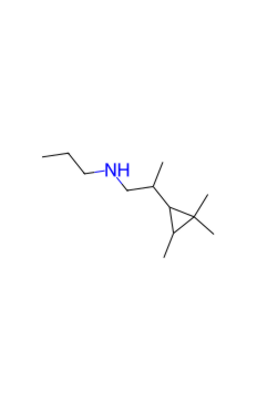 CCCNCC(C)C1C(C)C1(C)C